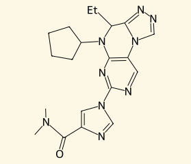 CCC1c2nncn2-c2cnc(-n3cnc(C(=O)N(C)C)c3)nc2N1C1CCCC1